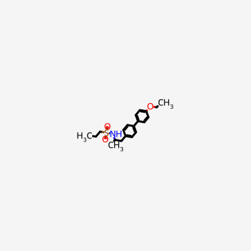 CCCS(=O)(=O)NC(C)Cc1ccc(-c2ccc(OCC)cc2)cc1